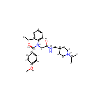 CCc1ccccc1N(CC(=O)NCC1CCN(C(C)C)CC1)C(=O)c1ccc(OC)cc1